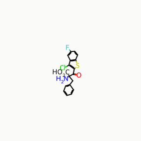 NC(Cc1ccccc1)(C(=O)O)C(=O)c1sc2ccc(F)cc2c1Cl